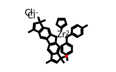 CC1=CC(C)(C)c2cc3c(cc21)-c1cc2c(cc1[CH]3[Zr+2]([C]1=CC=CC1)=[C](c1ccc(C)cc1)c1ccc(C)cc1)C(C)(C)C=C2C.[Cl-].[Cl-]